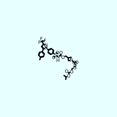 Cc1ccc(-c2cc(C(F)(F)F)nn2-c2ccc(S(=O)(=O)NC(=O)OCC3CN(n4on4OCOC(=O)OC(C)C)C3)cc2)cc1